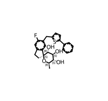 C[C@H]1O[C@]2(CCc3cc(F)c(Cc4ccc(-c5ccccc5)s4)cc32)[C@H](O)[C@@H](O)[C@@H]1O